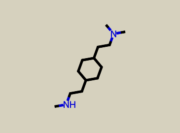 CNCCC1CCC(CCN(C)C)CC1